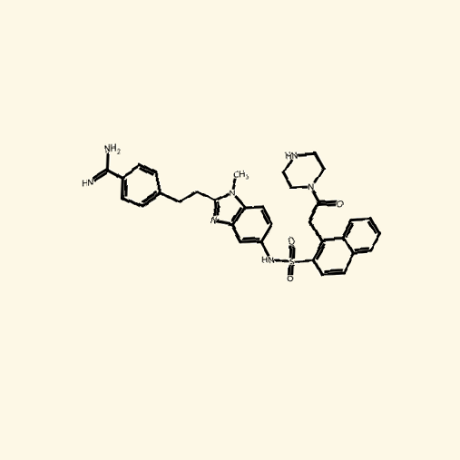 Cn1c(CCc2ccc(C(=N)N)cc2)nc2cc(NS(=O)(=O)c3ccc4ccccc4c3CC(=O)N3CCNCC3)ccc21